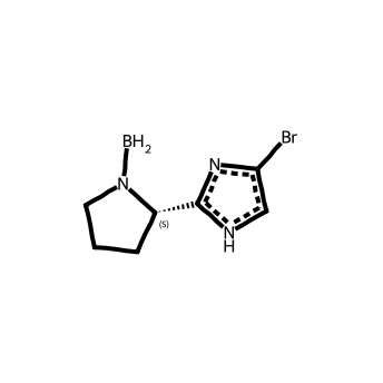 BN1CCC[C@H]1c1nc(Br)c[nH]1